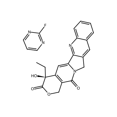 CC[C@@]1(O)C(=O)OCc2c1cc1n(c2=O)Cc2cc3ccccc3nc2-1.Fc1ncccn1